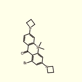 C[Si]1(C)c2cc(N3CCC3)ccc2C(=O)c2c(Br)cc(N3CCC3)cc21